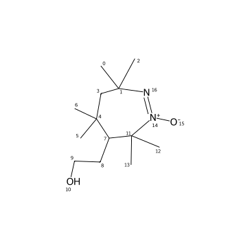 CC1(C)CC(C)(C)C(CCO)C(C)(C)[N+]([O-])=N1